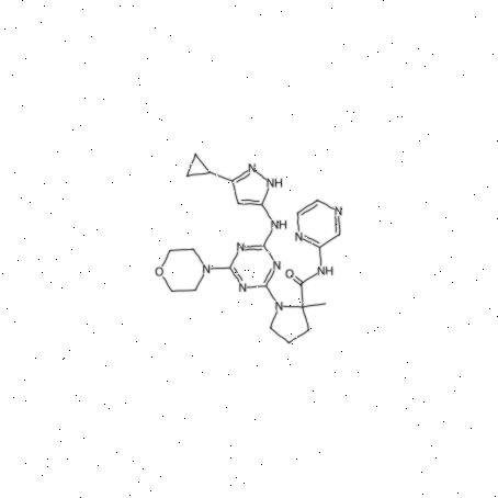 CC1(C(=O)Nc2cnccn2)CCCN1c1nc(Nc2cc(C3CC3)n[nH]2)nc(N2CCOCC2)n1